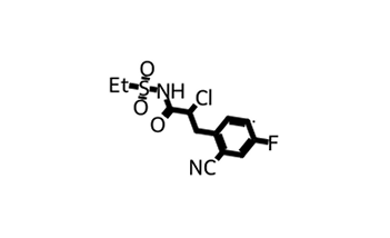 CCS(=O)(=O)NC(=O)C(Cl)Cc1c[c]c(F)cc1C#N